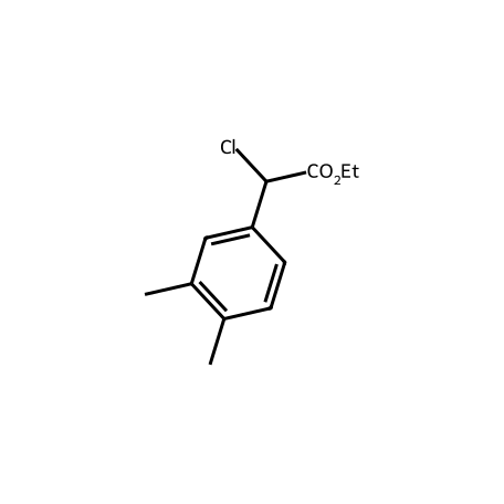 CCOC(=O)C(Cl)c1ccc(C)c(C)c1